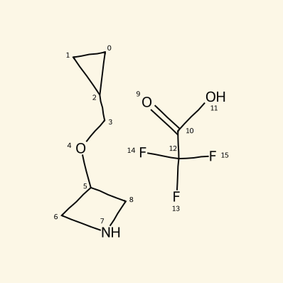 C1CC1COC1CNC1.O=C(O)C(F)(F)F